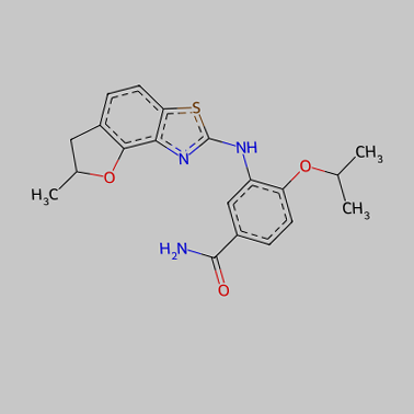 CC(C)Oc1ccc(C(N)=O)cc1Nc1nc2c3c(ccc2s1)CC(C)O3